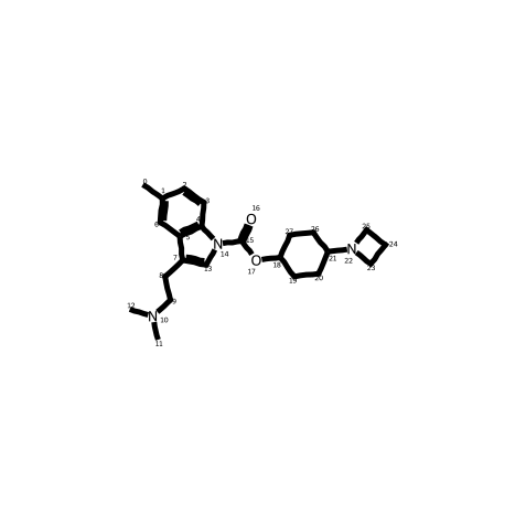 Cc1ccc2c(c1)c(CCN(C)C)cn2C(=O)OC1CCC(N2CCC2)CC1